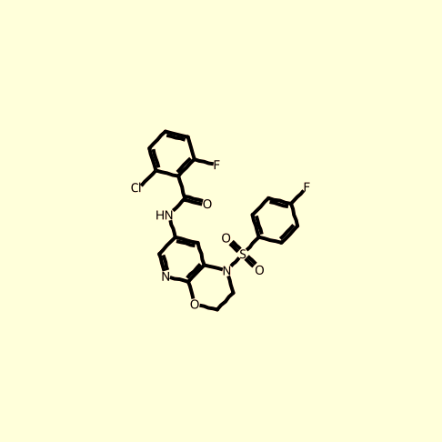 O=C(Nc1cnc2c(c1)N(S(=O)(=O)c1ccc(F)cc1)CCO2)c1c(F)cccc1Cl